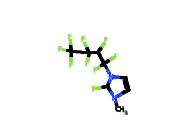 CN1C=CN(C(F)(F)C(F)C(F)(F)C(F)(F)F)C1F